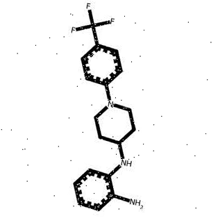 Nc1ccccc1NC1CCN(c2[c]cc(C(F)(F)F)cc2)CC1